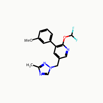 COc1cccc(-c2cc(Cn3cnc(C)n3)cnc2OC(F)F)c1